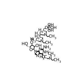 CCN(CC)CC.CCN(CC)CC.CCN(CC)CC.Nc1nc2c(ncn2[C@@H]2O[C@H](CO)[C@@H](O)[C@H]2O)c(=O)[nH]1.O=P(O)(O)O